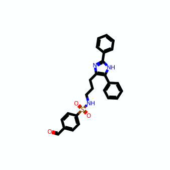 O=Cc1ccc(S(=O)(=O)NCCCc2nc(-c3ccccc3)[nH]c2-c2ccccc2)cc1